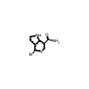 NC(=O)c1cnc(Br)c2cc[nH]c12